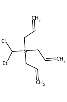 C=CC[Si](CC=C)(CC=C)C(Cl)CC